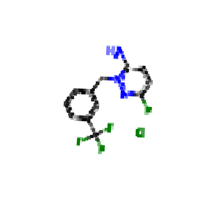 Nc1ccc(F)n[n+]1Cc1cccc(C(F)(F)F)c1.[Cl-]